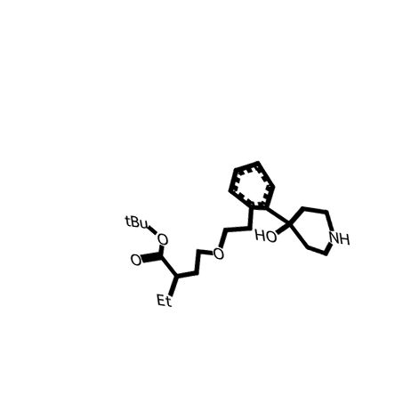 CCC(CCOCCc1ccccc1C1(O)CCNCC1)C(=O)OC(C)(C)C